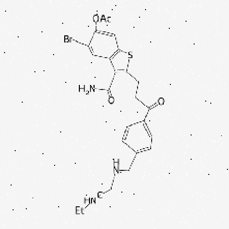 CCNCCNCc1ccc(C(=O)CCc2sc3cc(OC(C)=O)c(Br)cc3c2C(N)=O)cc1